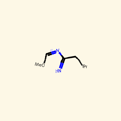 CO/C=N\C(=N)CC(C)C